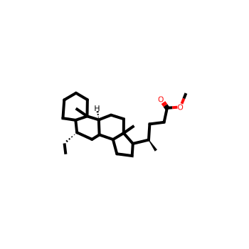 CC[C@H]1CC2C3CCC([C@H](C)CCC(=O)OC)C3(C)CC[C@@H]2C2(C)CCCCC12